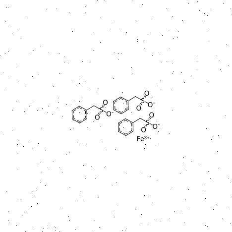 O=S(=O)([O-])Cc1ccccc1.O=S(=O)([O-])Cc1ccccc1.O=S(=O)([O-])Cc1ccccc1.[Fe+3]